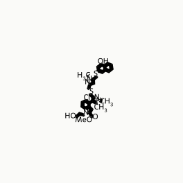 COC(=O)c1cc2c(-c3c(CSCc4cc(CSc5cc(O)c6ccccc6c5)n(C)n4)nn(C)c3C)c(Cl)ccc2n1CCCO